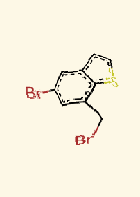 BrCc1cc(Br)cc2ccsc12